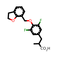 CC(Cc1cc(F)c(OCc2cccc3c2OCC3)c(F)c1)C(=O)O